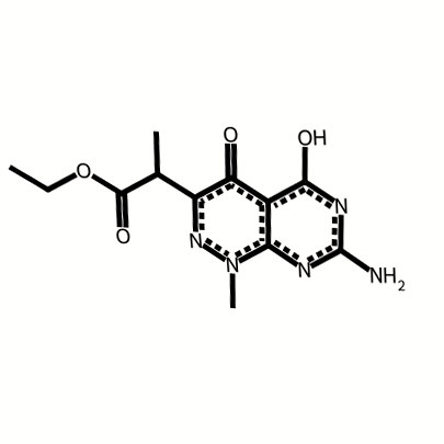 CCOC(=O)C(C)c1nn(C)c2nc(N)nc(O)c2c1=O